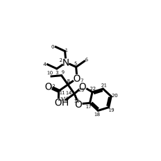 CCN(CC)C(C)OC(CC)(C(=O)O)C1(C)Oc2ccccc2O1